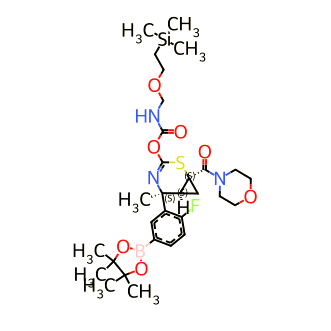 CC1(C)OB(c2ccc(F)c([C@@]3(C)N=C(OC(=O)NCOCC[Si](C)(C)C)S[C@@]4(C(=O)N5CCOCC5)C[C@H]43)c2)OC1(C)C